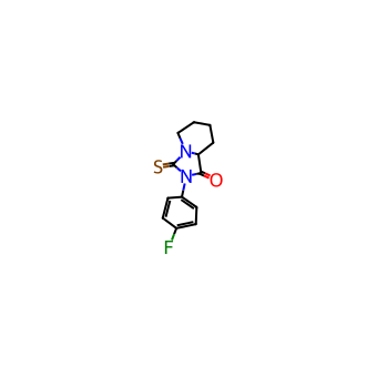 O=C1C2CCCCN2C(=S)N1c1ccc(F)cc1